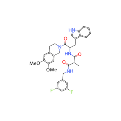 COc1cc2c(cc1OC)CN(C(=O)C(Cc1c[nH]c3ccccc13)NC(=O)C(C)C(=O)NCc1cc(F)cc(F)c1)CC2